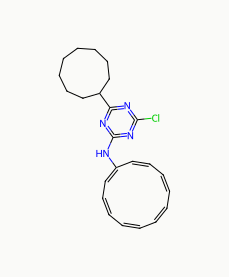 Clc1nc(NC2=C/C=C\C=C/C=C\C=C/C=C\2)nc(C2CCCCCCCC2)n1